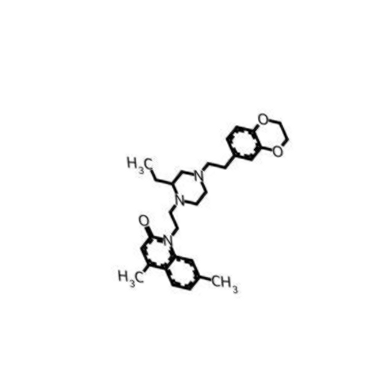 CCC1CN(CCc2ccc3c(c2)OCCO3)CCN1CCn1c(=O)cc(C)c2ccc(C)cc21